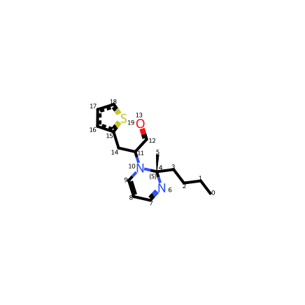 CCCC[C@]1(C)N=CC=CN1C(C=O)Cc1cccs1